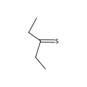 CCC(=S)CC